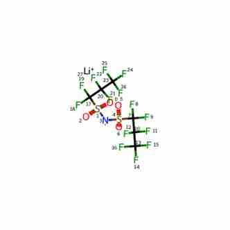 O=S(=O)([N]S(=O)(=O)C(F)(F)C(F)(F)C(F)(F)F)C(F)(F)C(F)(F)C(F)(F)F.[Li+]